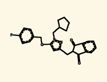 O=C1c2ccccc2C(=O)C1Cc1cc(OCc2ccc(F)cc2)n(CC2CCCC2)n1